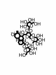 C=C1C[C@@]2(C)C(C(O)C3OC(C)C(OC4OC(C)C(O)C(O)C4O)C4OC(C5OC(CO)C(O)C(O)C5O)OC34)C[C@H]3[C@@](C)(CCC[C@@]3(C)C(=O)OC3OC(CO)C(O)C(O)C3O)[C@@H]2CC[C@@]1(C)OC